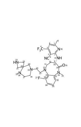 Cc1cc(C(F)(F)F)c(C#N)c(N[C@H]2CCN(CCN3CCN(C)C4(CNC4)C3)c3c(F)cccc3N(C)C2=O)n1